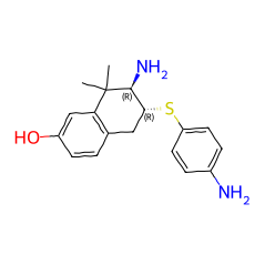 CC1(C)c2cc(O)ccc2C[C@@H](Sc2ccc(N)cc2)[C@@H]1N